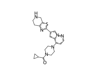 O=C(C1CC1)N1CCN(c2ccnn3cc(-c4nc5c(s4)CNCC5)cc23)CC1